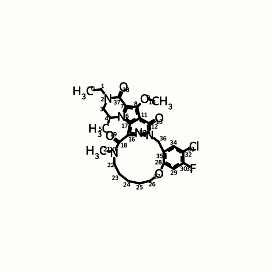 CCN1C[C@H](C)n2c(c(OC)c3c(=O)n4nc(c32)C(=O)N(C)CCCCCOc2cc(F)c(Cl)cc2C4)C1=O